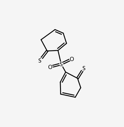 O=S(=O)(C1=CC=CCC1=S)C1=CC=CCC1=S